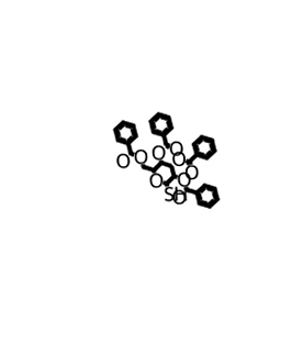 O=C(OCC1OC(S)C(OC(=O)c2ccccc2)C(OC(=O)c2ccccc2)C1OC(=O)c1ccccc1)c1ccccc1